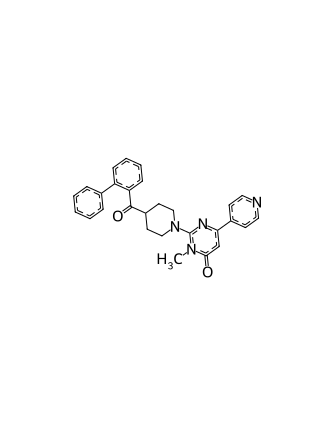 Cn1c(N2CCC(C(=O)c3ccccc3-c3ccccc3)CC2)nc(-c2ccncc2)cc1=O